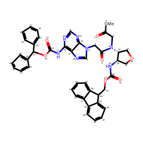 COC(=O)CN(C(=O)Cn1cnc2c(NC(=O)OC(c3ccccc3)c3ccccc3)ncnc21)[C@@H]1COC[C@H]1NC(=O)OCC1c2ccccc2-c2ccccc21